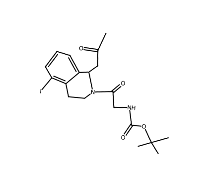 CC(=O)CC1c2cccc(I)c2CCN1C(=O)CNC(=O)OC(C)(C)C